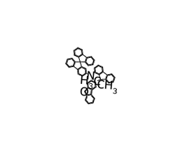 CC1(C)c2ccccc2-c2cccc(N(c3ccc4c(c3)C3(c5ccccc5-c5ccccc53)c3ccccc3-4)c3ccc4c(c3)oc3ccccc34)c21